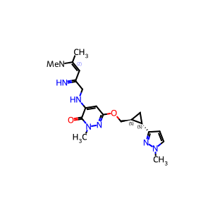 CN/C(C)=C\C(=N)CNc1cc(OC[C@H]2C[C@@H]2c2ccn(C)n2)nn(C)c1=O